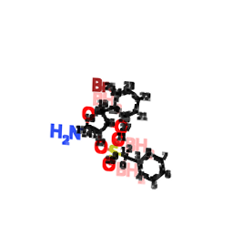 BC(B)(c1ccccc1)S(=O)(=O)OC1=C(N)O[C@](B)(c2ccccc2Br)C1=O